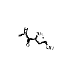 CNC(=O)C(N)CCO